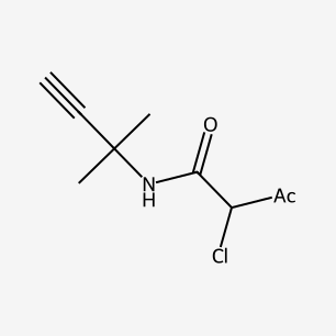 C#CC(C)(C)NC(=O)C(Cl)C(C)=O